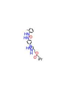 Cc1ccccc1NC(=O)Nc1ccc(N2C=C(CCOC(=O)CC(C)C)NN2)cc1